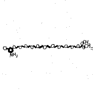 COC(COCCOCCOCCOCCOCCOCCOCCOCCOCCOCCOc1cc(N)cc(Cl)c1)OC